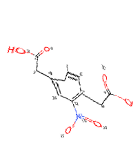 O=C(O)Cc1ccc(CC(=O)O)c([N+](=O)[O-])c1